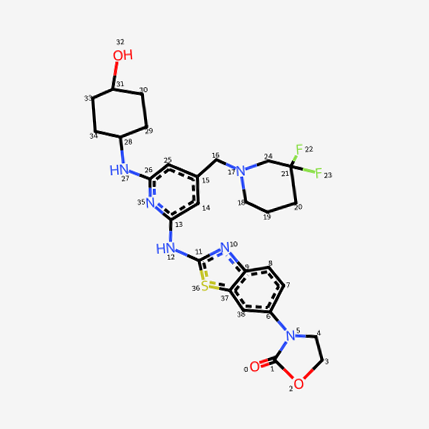 O=C1OCCN1c1ccc2nc(Nc3cc(CN4CCCC(F)(F)C4)cc(NC4CCC(O)CC4)n3)sc2c1